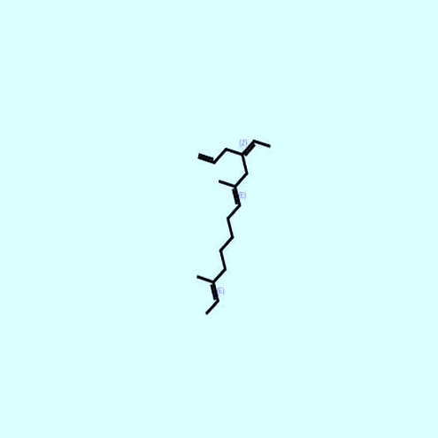 C=CC/C(=C/C)C/C(C)=C/CCCC/C(C)=C/C